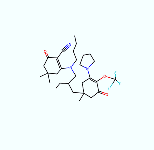 CCCCN(CC(CC)CC1(C)CC(=O)C(OC(F)(F)F)=C(N2CCCC2)C1)C1=C(C#N)C(=O)CC(C)(C)C1